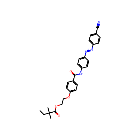 CCC(C)(C)C(=O)OCCOc1ccc(C(=O)Nc2ccc(/N=N/c3ccc(C#N)cc3)cc2)cc1